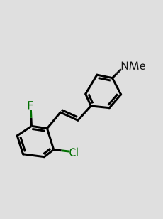 CNc1ccc(C=Cc2c(F)cccc2Cl)cc1